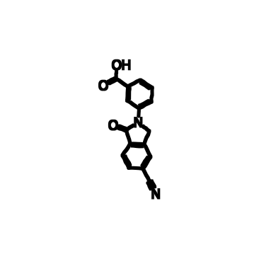 N#Cc1ccc2c(c1)CN(c1cccc(C(=O)O)c1)C2=O